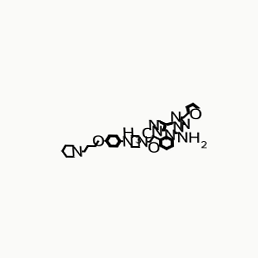 CC(C(=O)N1CCN(c2ccc(OCCCN3CCCCC3)cc2)CC1)(c1ccccc1)n1ncc2c1nc(N)n1nc(-c3ccco3)nc21